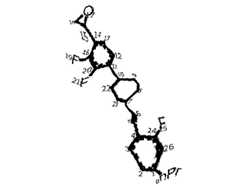 CCCc1ccc(/C=C/C2CCC(c3ccc(C4CO4)c(F)c3F)CC2)c(F)c1